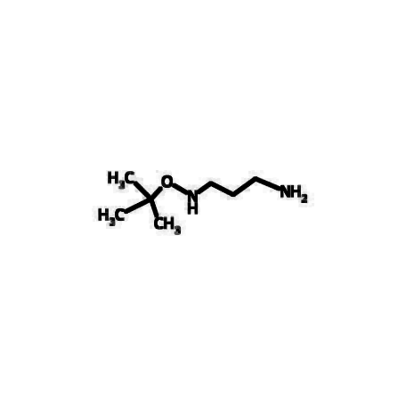 CC(C)(C)ONCCCN